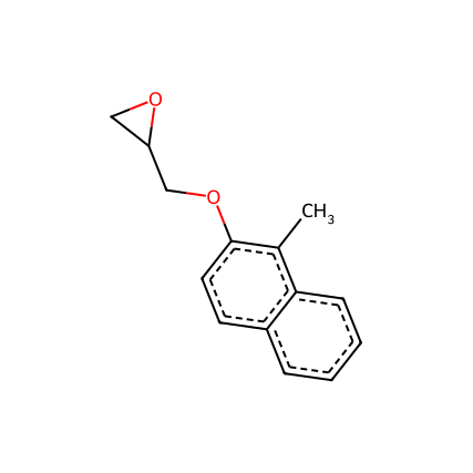 Cc1c(OCC2CO2)ccc2ccccc12